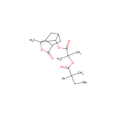 CC(C)C(C)(CC(C)(C)C)C(=O)OC(C)(C)C(=O)OC1C2CC3C(=O)OC1(C)C3C2